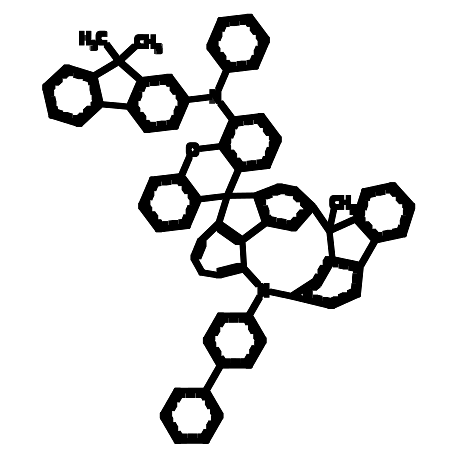 CC1(C)c2ccccc2-c2ccc(N(c3ccccc3)c3cccc4c3Oc3ccccc3C43C4=C5C(=CCC=C4)N(c4ccc(-c6ccccc6)cc4)c4ccc6c(c4)C(C)(c4ccc3c5c4)c3ccccc3-6)cc21